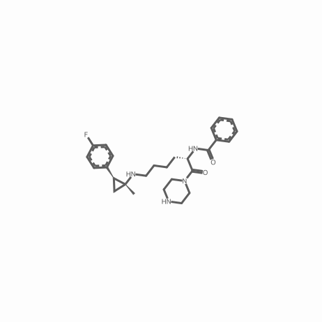 C[C@@]1(NCCCC[C@H](NC(=O)c2ccccc2)C(=O)N2CCNCC2)C[C@H]1c1ccc(F)cc1